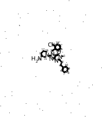 Cn1c(CCc2ccccc2)nc2nc(N3CCCC(N)C3)n(Cc3ccccc3Cl)c2c1=O